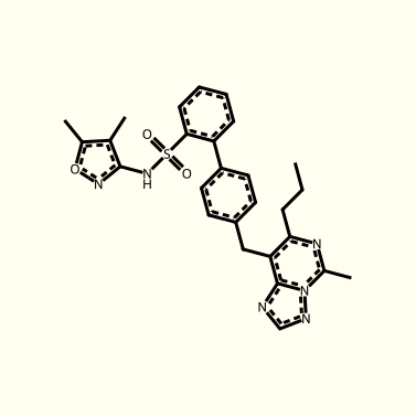 CCCc1nc(C)n2ncnc2c1Cc1ccc(-c2ccccc2S(=O)(=O)Nc2noc(C)c2C)cc1